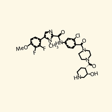 COc1ccc(-c2cnc(C(=O)Nc3ccc(C(=O)N4CCN(C(=O)[C@H]5CCNC[C@@H]5O)CC4)c(Cl)c3)n2C)c(F)c1F